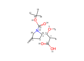 C=C1C[C@@H](C(OC)C(C)C(=O)O)N(C(=O)OC(C)(C)C)C1